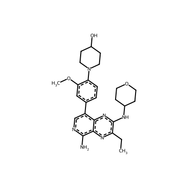 CCc1nc2c(N)ncc(-c3ccc(N4CCC(O)CC4)c(OC)c3)c2nc1NC1CCOCC1